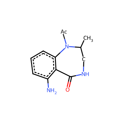 CC(=O)N1c2cccc(N)c2C(=O)NCC1C